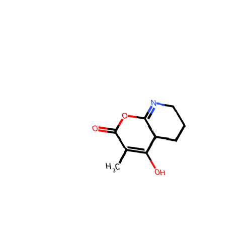 CC1=C(O)C2CCCN=C2OC1=O